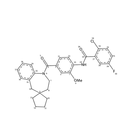 COc1cc(C(=O)N2CCC3(CCCC3)Cc3ccccc32)ccc1NC(=O)c1cc(F)ccc1Cl